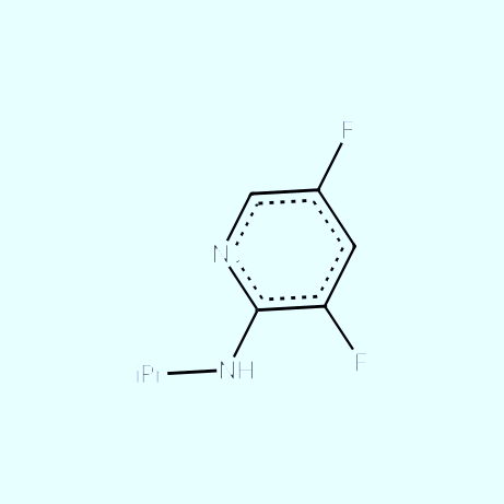 CC(C)Nc1ncc(F)cc1F